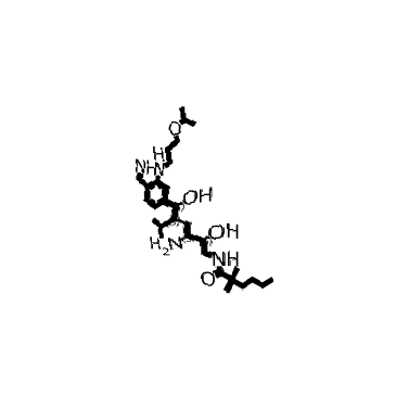 CCCCC(C)(C)C(=O)NC[C@H](O)[C@@H](N)C[C@@H](C(C)C)[C@H](O)c1ccc(C=N)c(NCCCOC(C)C)c1